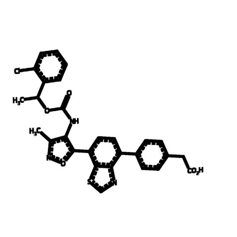 Cc1noc(-c2ccc(-c3ccc(CC(=O)O)cc3)c3ncsc23)c1NC(=O)OC(C)c1ccccc1Cl